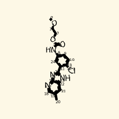 COCCOC(=O)Nc1ccc(Cl)c(-c2nc3ncc(C)cc3[nH]2)c1